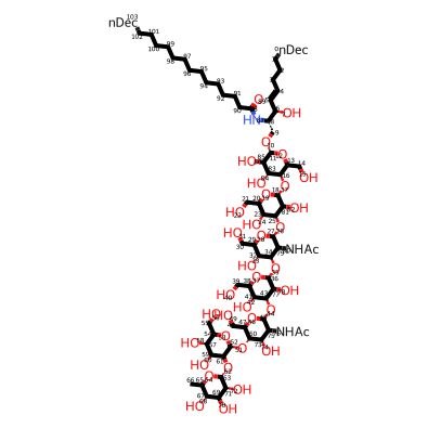 CCCCCCCCCCCCC/C=C/[C@@H](O)[C@H](CO[C@@H]1OC(CO)[C@@H](O[C@@H]2OC(CO)[C@H](O)[C@H](O[C@@H]3OC(CO)[C@@H](O)[C@H](O[C@@H]4OC(CO)[C@H](O)[C@H](O[C@@H]5OC(CO)[C@@H](O[C@@H]6OC(CO)[C@H](O)[C@H](O)C6O[C@H]6OC(C)[C@@H](O)C(O)[C@@H]6O)[C@H](O)C5NC(C)=O)C4O)C3NC(C)=O)C2O)[C@H](O)C1O)NC(=O)CCCCCCCCCCCCCCCCCCCCCCC